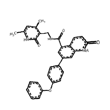 Cc1cc(C)c(CNC(=O)c2cc(-c3ccc(Oc4ccccc4)cc3)cc3[nH]c(=O)ccc23)c(=O)[nH]1